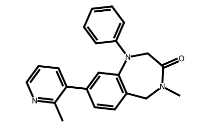 Cc1ncccc1-c1ccc2c(c1)N(c1ccccc1)CC(=O)N(C)C2